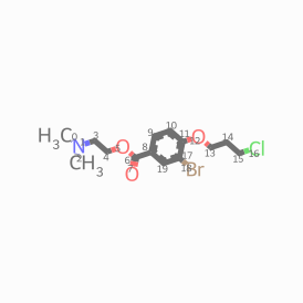 CN(C)CCOC(=O)c1ccc(OCCCCl)c(Br)c1